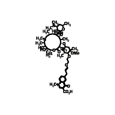 CC[C@H]1OC(=O)[C@H](C)[C@@H](OC2C[C@@](C)(OC)[C@@H](OCCOC=CCc3ccc4c(c3)c(=O)c(C(=O)O)cn4C)[C@H](C)O2)[C@H](C)[C@@H](O[C@@H]2O[C@H](C)C[C@H](N(C)C)[C@H]2O)[C@](C)(O)C[C@@H](C)CN(C)[C@H](C)[C@H](O)[C@]1(C)O